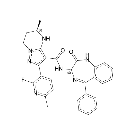 Cc1ccc(-c2nn3c(c2C(=O)N[C@H]2N=C(c4ccccc4)c4ccccc4NC2=O)N[C@H](C)CC3)c(F)n1